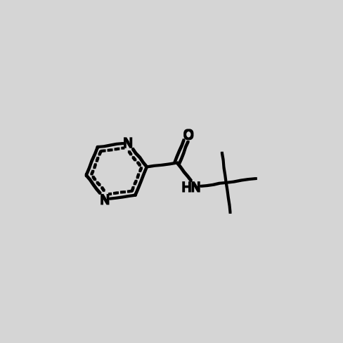 CC(C)(C)NC(=O)c1cnccn1